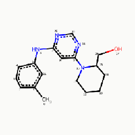 Cc1cccc(Nc2cc(N3CCCCC3CO)ncn2)c1